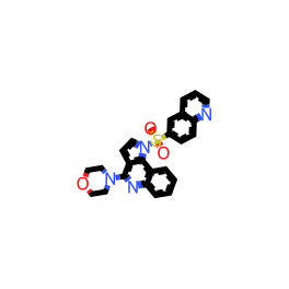 O=S(=O)(c1ccc2ncccc2c1)n1ccc2c(N3CCOCC3)nc3ccccc3c21